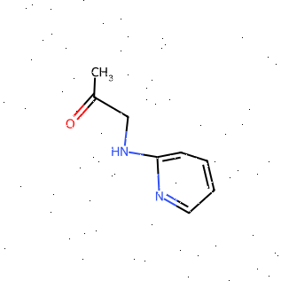 CC(=O)CNc1ccccn1